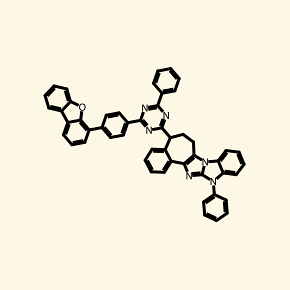 c1ccc(-c2nc(-c3ccc(-c4cccc5c4oc4ccccc45)cc3)nc(C3CCc4c(nc5n(-c6ccccc6)c6ccccc6n45)-c4ccccc43)n2)cc1